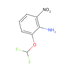 Nc1c(OC(F)F)cccc1[N+](=O)[O-]